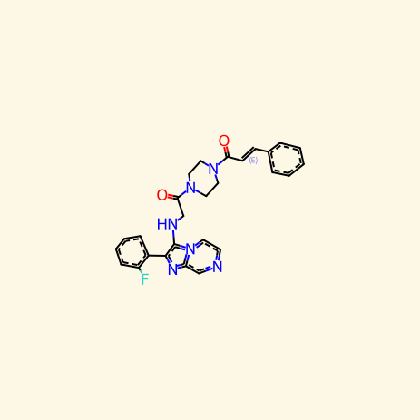 O=C(/C=C/c1ccccc1)N1CCN(C(=O)CNc2c(-c3ccccc3F)nc3cnccn23)CC1